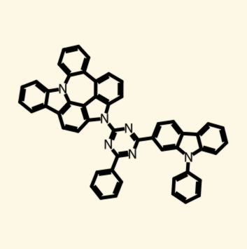 c1ccc(-c2nc(-c3ccc4c5ccccc5n(-c5ccccc5)c4c3)nc(-n3c4cccc5c6ccccc6n6c7ccccc7c7ccc3c(c54)c76)n2)cc1